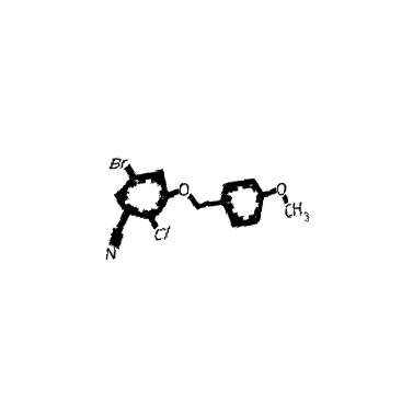 COc1ccc(COc2cc(Br)cc(C#N)c2Cl)cc1